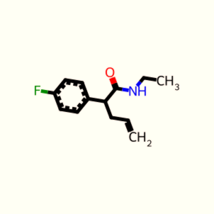 C=CCC(C(=O)NCC)c1ccc(F)cc1